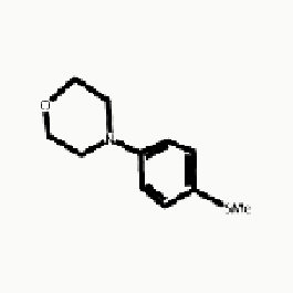 CSc1ccc(N2CCOCC2)cc1